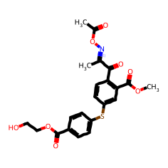 COC(=O)c1cc(Sc2ccc(C(=O)OCCO)cc2)ccc1C(=O)/C(C)=N/OC(C)=O